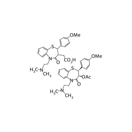 COc1ccc(C2Sc3ccccc3N(CCN(C)C)C(=O)C2CC(=O)O)cc1.COc1ccc([C@@H]2Sc3ccccc3N(CCN(C)C)C(=O)[C@@H]2OC(C)=O)cc1